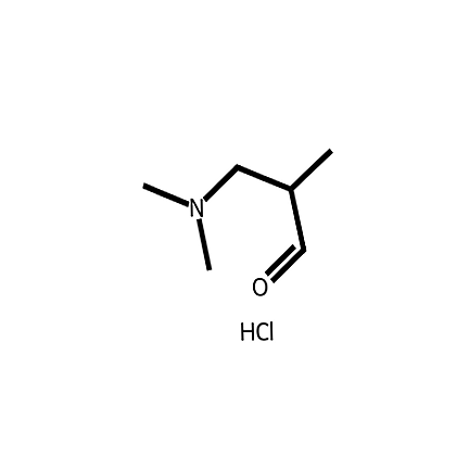 CC(C=O)CN(C)C.Cl